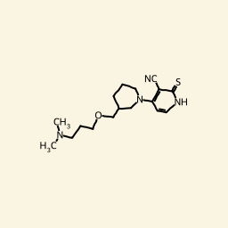 CN(C)CCCOCC1CCCN(c2cc[nH]c(=S)c2C#N)C1